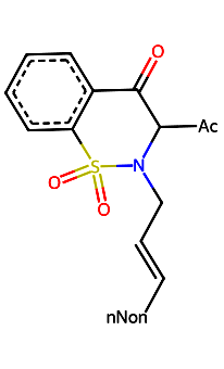 CCCCCCCCCC=CCN1C(C(C)=O)C(=O)c2ccccc2S1(=O)=O